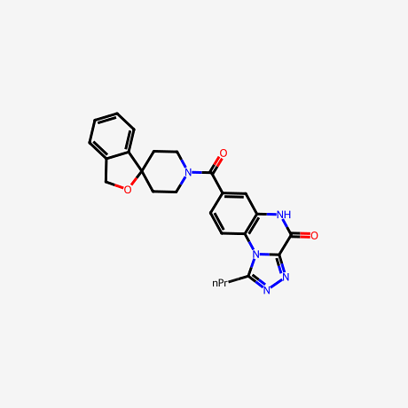 CCCc1nnc2c(=O)[nH]c3cc(C(=O)N4CCC5(CC4)OCc4ccccc45)ccc3n12